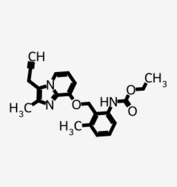 C#CCc1c(C)nc2c(OCc3c(C)cccc3NC(=O)OCC)cccn12